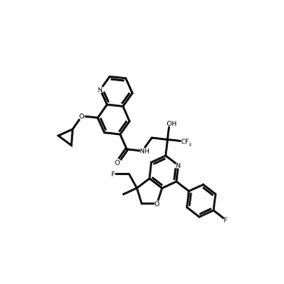 CC1(CF)COc2c1cc(C(O)(CNC(=O)c1cc(OC3CC3)c3ncccc3c1)C(F)(F)F)nc2-c1ccc(F)cc1